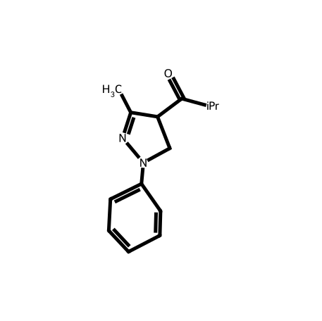 CC1=NN(c2ccccc2)CC1C(=O)C(C)C